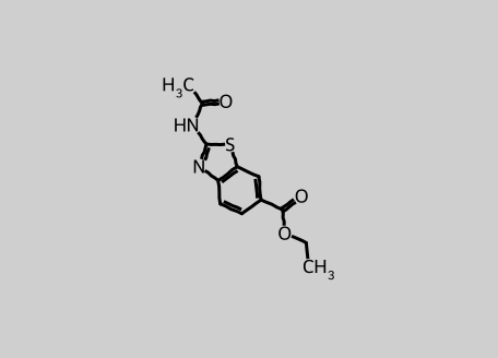 CCOC(=O)c1ccc2nc(NC(C)=O)sc2c1